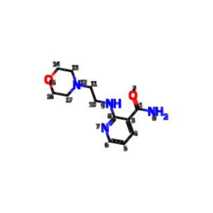 NC(=O)c1cccnc1NCCN1CCOCC1